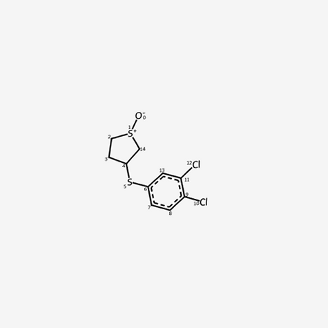 [O-][S+]1CCC(Sc2ccc(Cl)c(Cl)c2)C1